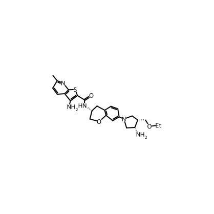 CCOC[C@H]1CN(c2ccc3c(c2)OC[C@H](NC(=O)c2sc4nc(C)ccc4c2N)C3)C[C@H]1N